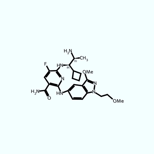 COCCn1nc(OC)c2cc(Nc3nc(N[C@H](C4CCC4)[C@H](C)N)c(F)cc3C(N)=O)ccc21